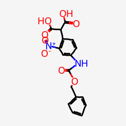 O=C(Nc1ccc(C(C(=O)O)C(=O)O)c([N+](=O)[O-])c1)OCc1ccccc1